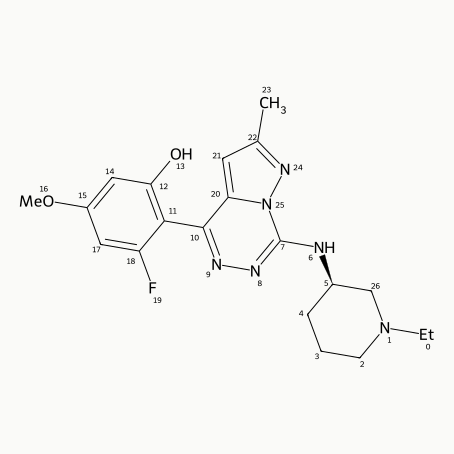 CCN1CCC[C@@H](Nc2nnc(-c3c(O)cc(OC)cc3F)c3cc(C)nn23)C1